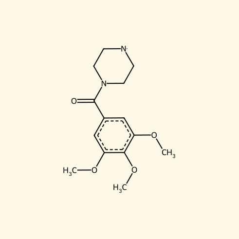 COc1cc(C(=O)N2CC[N]CC2)cc(OC)c1OC